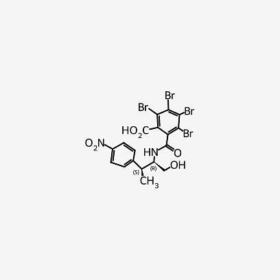 C[C@@H](c1ccc([N+](=O)[O-])cc1)[C@H](CO)NC(=O)c1c(Br)c(Br)c(Br)c(Br)c1C(=O)O